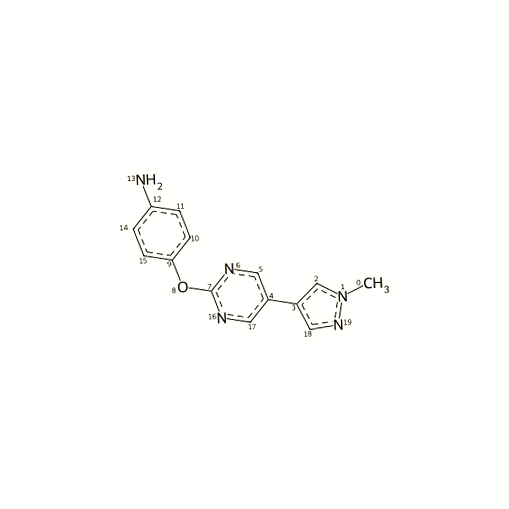 Cn1cc(-c2cnc(Oc3ccc(N)cc3)nc2)cn1